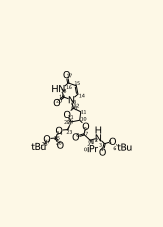 CC(C)[C@@H](NC(=O)OC(C)(C)C)C(=O)OC1C[C@H](n2ccc(=O)[nH]c2=O)O[C@@H]1COC(=O)OC(C)(C)C